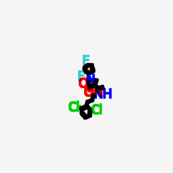 C=C(NCCCc1c(Cl)cccc1Cl)C1=C(O)C(=O)N(c2ccc(F)cc2F)C1